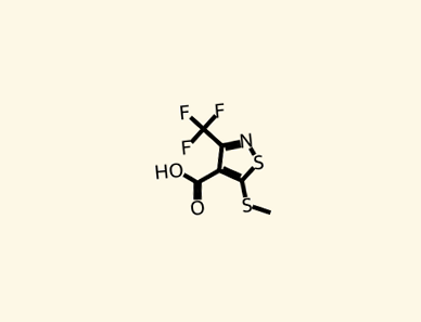 CSc1snc(C(F)(F)F)c1C(=O)O